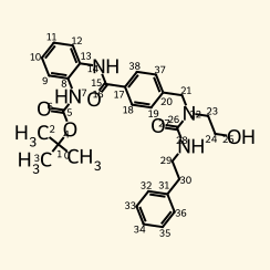 CC(C)(C)OC(=O)Nc1ccccc1NC(=O)c1ccc(CN(CCO)C(=O)NCCc2ccccc2)cc1